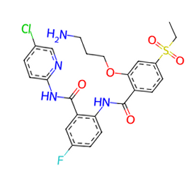 CCS(=O)(=O)c1ccc(C(=O)Nc2ccc(F)cc2C(=O)Nc2ccc(Cl)cn2)c(OCCCN)c1